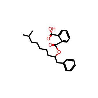 CC(C)CCCCCC(Cc1ccccc1)OC(=O)c1ccccc1C(=O)O